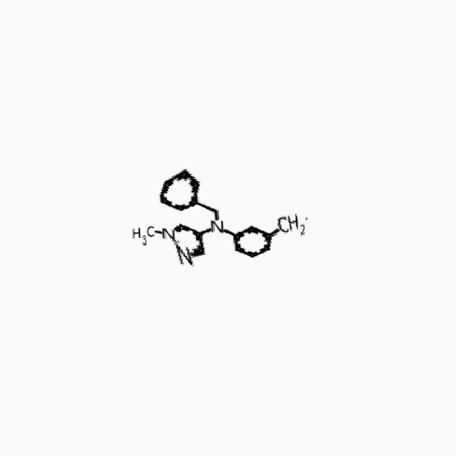 [CH2]c1cccc(N(Cc2ccccc2)c2cnn(C)c2)c1